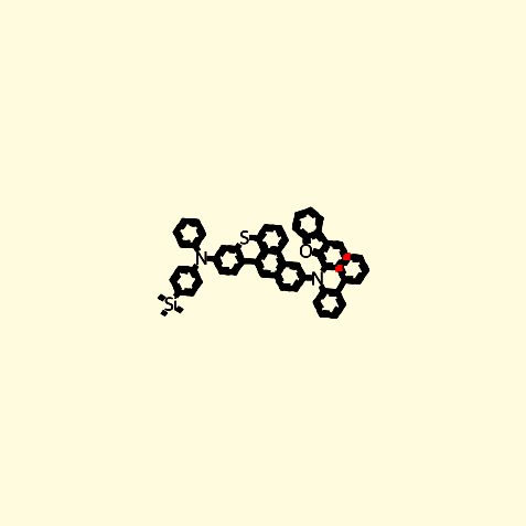 C[Si](C)(C)c1ccc(N(c2ccccc2)c2ccc3c(c2)Sc2cccc4c2c-3cc2ccc(N(c3ccccc3-c3ccccc3)c3cccc5c3oc3ccccc35)cc24)cc1